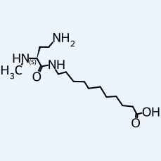 CN[C@@H](CCN)C(=O)NCCCCCCCCCCC(=O)O